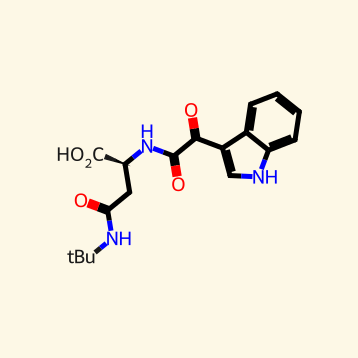 CC(C)(C)NC(=O)C[C@H](NC(=O)C(=O)c1c[nH]c2ccccc12)C(=O)O